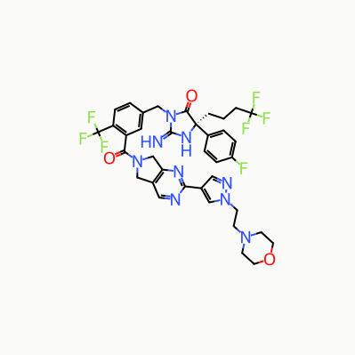 N=C1N[C@](CCCC(F)(F)F)(c2ccc(F)cc2)C(=O)N1Cc1ccc(C(F)(F)F)c(C(=O)N2Cc3cnc(-c4cnn(CCN5CCOCC5)c4)nc3C2)c1